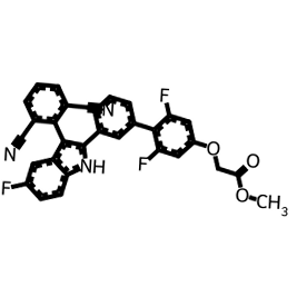 COC(=O)COc1cc(F)c(-c2cccc(-c3[nH]c4ccc(F)cc4c3-c3c(C#N)cccc3C#N)c2)c(F)c1